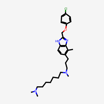 Cc1c(CCCN(C)CCCCCCCN(C)C)ccc2[nH]c(COc3ccc(Cl)cc3)nc12